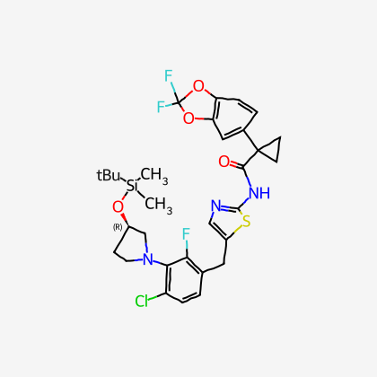 CC(C)(C)[Si](C)(C)O[C@@H]1CCN(c2c(Cl)ccc(Cc3cnc(NC(=O)C4(c5ccc6c(c5)OC(F)(F)O6)CC4)s3)c2F)C1